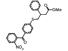 COC(=O)CC(CSc1ccc(C(=O)c2ccccc2[N+](=O)[O-])cc1)c1ccccc1